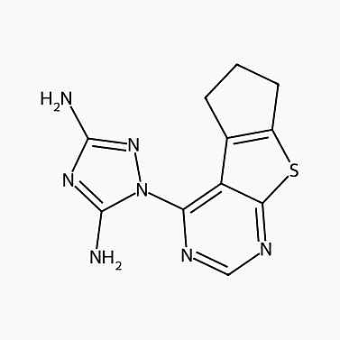 Nc1nc(N)n(-c2ncnc3sc4c(c23)CCC4)n1